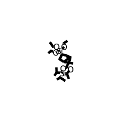 CCO[Si](OCC)(OCC)C1CC2CC1CC2(C)C(=O)O[Si](C(C)C)(C(C)C)C(C)C